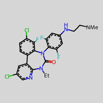 CCN1C(=O)N(c2c(F)cc(NCCNC)cc2F)c2c(ccc(Cl)c2F)-c2cc(Cl)cnc21